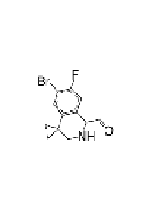 O=CC1NCC2(CC2)c2cc(Br)c(F)cc21